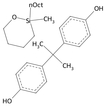 CC(C)(c1ccc(O)cc1)c1ccc(O)cc1.CCCCCCCC[Si]1(C)CCCCO1